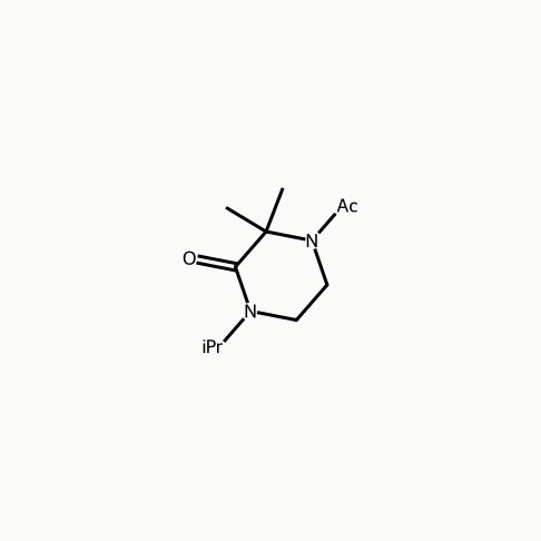 CC(=O)N1CCN(C(C)C)C(=O)C1(C)C